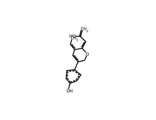 C=C(O)/C=C1/OCC(c2ccc(O)cc2)=C/C1=C/C